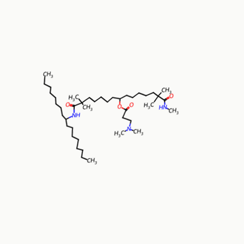 CCCCCCCCC(CCCCCCCC)NC(=O)C(C)(C)CCCCCC(CCCCCC(C)(C)C(=O)NC)OC(=O)CCN(C)C